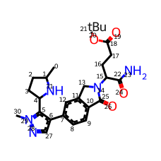 CC1CCC(c2c(-c3ccc4c(c3)CN(C(CCC(=O)OC(C)(C)C)C(N)=O)C4=O)cnn2C)N1